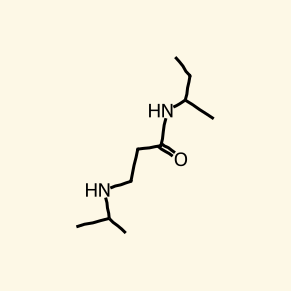 CCC(C)NC(=O)CCNC(C)C